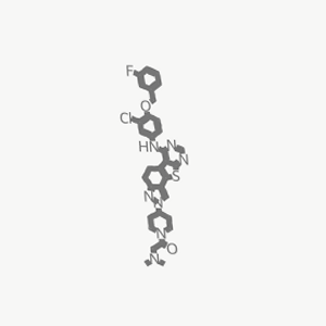 CN(C)CC(=O)N1CCC(n2cc3c(n2)CCc2c-3sc3ncnc(Nc4ccc(OCc5cccc(F)c5)c(Cl)c4)c23)CC1